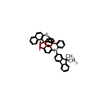 CC1(C)c2ccccc2-c2ccc(N(c3ccc4c(c3)C3(c5ccccc5Sc5ccc6ccccc6c53)c3ccccc3-4)c3ccccc3-c3ccccc3)cc21